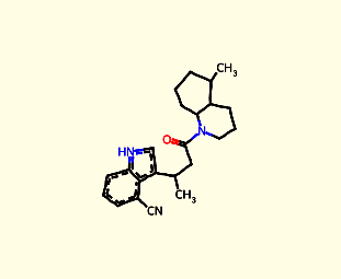 CC(CC(=O)N1CCCC2C(C)CCCC21)c1c[nH]c2cccc(C#N)c12